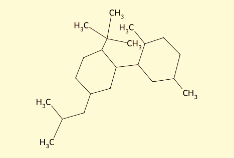 CC(C)CC1CCC(C(C)(C)C)C(C2CC(C)CCC2C)C1